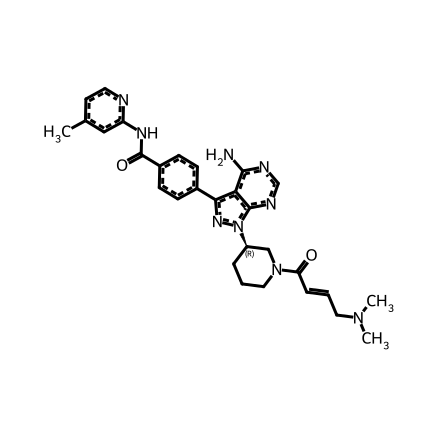 Cc1ccnc(NC(=O)c2ccc(-c3nn([C@@H]4CCCN(C(=O)C=CCN(C)C)C4)c4ncnc(N)c34)cc2)c1